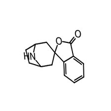 O=C1OC2(CC3CCC(C2)N3)c2ccccc21